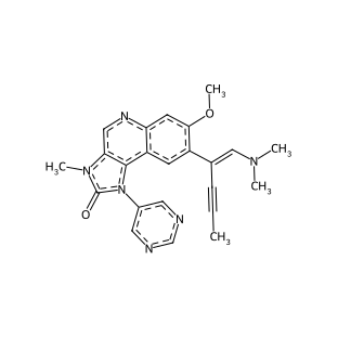 CC#C/C(=C\N(C)C)c1cc2c(cc1OC)ncc1c2n(-c2cncnc2)c(=O)n1C